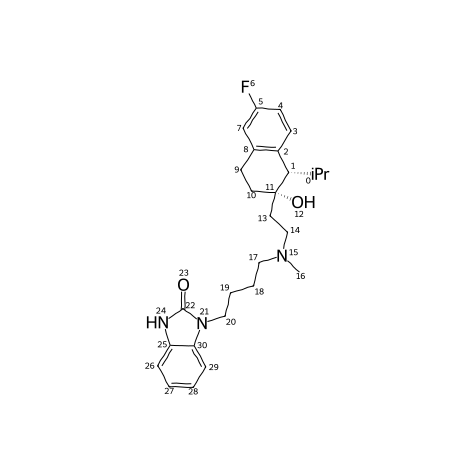 CC(C)[C@H]1c2ccc(F)cc2CC[C@]1(O)CCN(C)CCCCn1c(=O)[nH]c2ccccc21